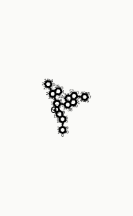 c1ccc(-c2ccc3cc4c(cc3c2)oc2cc(-c3ccc(-c5ccccc5)c5ccccc35)cc(-c3ccc5ccc6c(-c7ccccc7)ccc7ccc3c5c76)c24)cc1